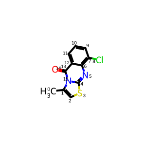 Cc1csc2nc3c(Cl)cccc3c(=O)n12